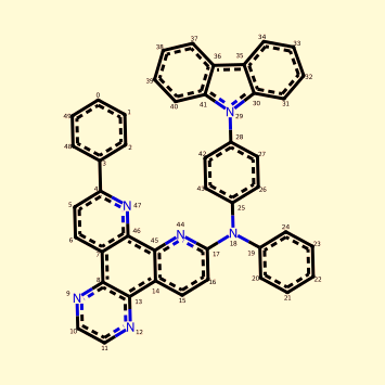 c1ccc(-c2ccc3c4nccnc4c4ccc(N(c5ccccc5)c5ccc(-n6c7ccccc7c7ccccc76)cc5)nc4c3n2)cc1